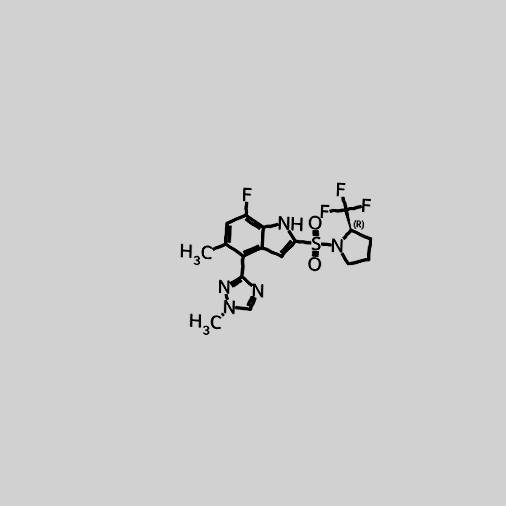 Cc1cc(F)c2[nH]c(S(=O)(=O)N3CCC[C@@H]3C(F)(F)F)cc2c1-c1ncn(C)n1